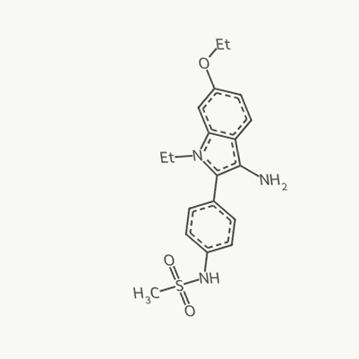 CCOc1ccc2c(N)c(-c3ccc(NS(C)(=O)=O)cc3)n(CC)c2c1